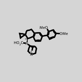 COc1ccc(-c2ccc3c(c2)CCC2(CC2)[C@@H]3N(C(=O)O)C2CN3CCC2CC3)c(OC)c1